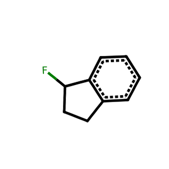 FC1CCc2ccccc21